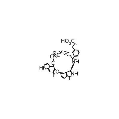 C[C@H](Cc1cccc(C2(C)CCCC(C)(C)CS(=O)(=O)CCc3c(c(F)cc4[nH]ccc34)Oc3ccc(F)c(c3)C(=N)/C=C\N2)c1)C(=O)O